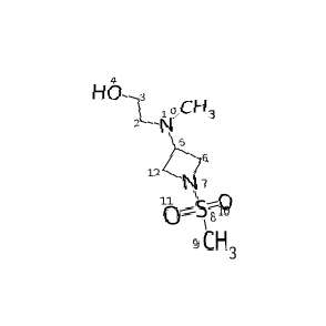 CN(CCO)C1CN(S(C)(=O)=O)C1